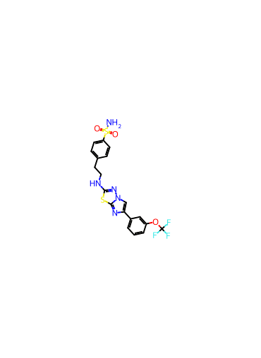 NS(=O)(=O)c1ccc(CCNc2nn3cc(-c4cccc(OC(F)(F)F)c4)nc3s2)cc1